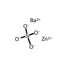 [Ba+2].[O-][Si]([O-])([O-])[O-].[Zn+2]